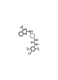 COc1cc(NC(=S)NC2CCC(Nc3nc(N(C)C)c4ccccc4n3)CC2)c(OC)cc1Cl